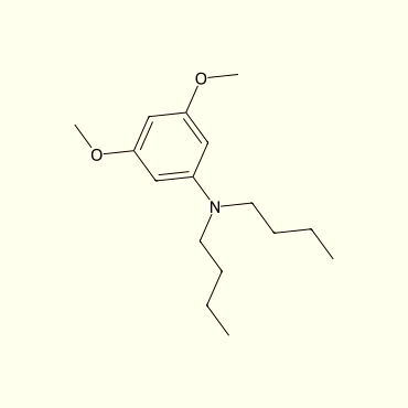 CCCCN(CCCC)c1cc(OC)cc(OC)c1